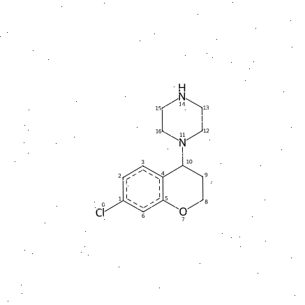 Clc1ccc2c(c1)OCCC2N1CCNCC1